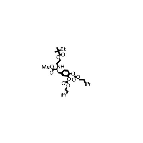 CCC(C)(C)C(=O)OCCN[C@@H](Cc1ccc(OC(=O)OCCC(C)C)c(OC(=O)OCCC(C)C)c1)C(=O)OC